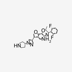 CC(Cc1c(F)cccc1F)Oc1c(N)ncc2c(-c3cnn(C4CCNCC4)c3)coc12